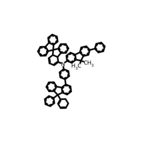 CC1(C)c2cc(-c3ccccc3)ccc2-c2ccc(N(C3=CC=CC4C3c3ccccc3C43c4ccccc4-c4ccccc43)c3ccc(-c4cccc5c4-c4ccccc4C5(C4=CC=CCC4)c4ccccc4)cc3)cc21